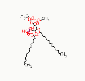 CCCCCCCCCCCCCC(=O)OC(CCC(OC(=O)OCC)OC(=O)OCC)C(COP(=O)(O)O)OC(=O)CCCCCCCCCCCCC